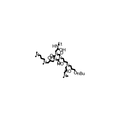 CCCCOCC(O)CN(CCCN(C)C)CC(O)Cn1c(=O)n(CC(O)CN(C)CCCN(C)C)c(=O)n(CC(O)NCC)c1=O